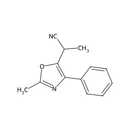 Cc1nc(-c2ccccc2)c(C(C)C#N)o1